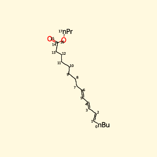 CCCCC=CC=CC=CCCCCCCCC(=O)OCCC